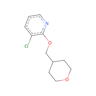 Clc1cccnc1OCC1CCOCC1